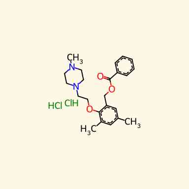 Cc1cc(C)c(OCCN2CCN(C)CC2)c(COC(=O)c2ccccc2)c1.Cl.Cl